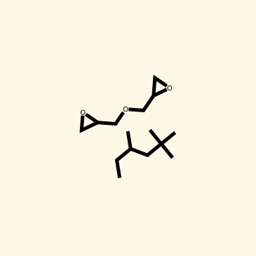 C(OCC1CO1)C1CO1.CCC(C)CC(C)(C)C